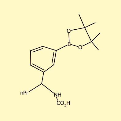 CCCC(NC(=O)O)c1cccc(B2OC(C)(C)C(C)(C)O2)c1